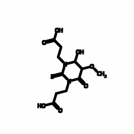 COC1C(=O)N(CCC(=O)O)C(=S)N(CCC(=O)O)C1O